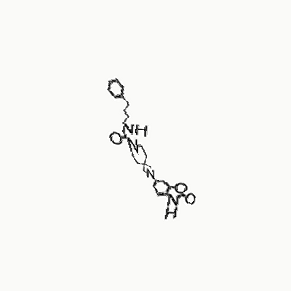 O=C(NCCCCc1ccccc1)N1CCC2(CC1)CN(c1ccc3[nH]c(=O)oc3c1)C2